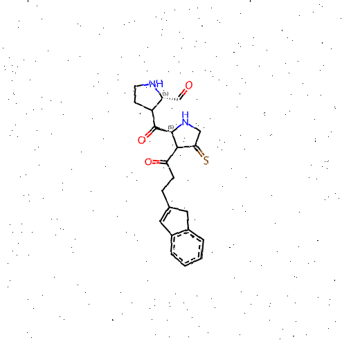 O=C[C@H]1NCCC1C(=O)[C@H]1NCC(=S)C1C(=O)CCC1=Cc2ccccc2C1